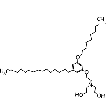 CCCCCCCCCCCCCCCc1cc(OCCCCCCCCCC)cc(OCCN(CCO)CCO)c1